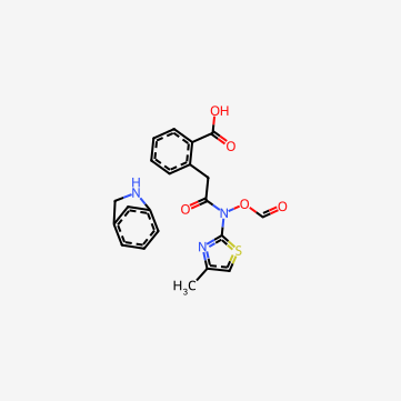 Cc1csc(N(OC=O)C(=O)Cc2ccccc2C(=O)O)n1.c1cc2cc(c1)NC2